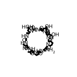 C=C1NCC(=O)NC(C(C)N)C(=O)NC(C(C)C)C(=O)N2CCCC2C(=O)NC(C)C(N)C(=O)N2CCCCC2C(=O)NC(C(C)C(=O)O)C(=O)NC(CC(=O)O)C(=O)NCC(=O)NC1CC(=O)O